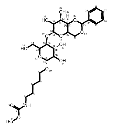 CC(C)(C)OC(=O)NCCCCCO[C@@H]1OC(CO)[C@@H](O[C@@H]2OC3COC(c4ccccc4)O[C@@H]3[C@H](O)C2O)[C@H](O)C1O